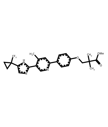 COC(=O)C(C)(C)COc1ccc(-c2cc(C)c(-c3ncc(C4(C(F)(F)F)CC4)[nH]3)cn2)cc1